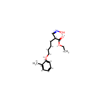 CCOC(=O)C(/C=N\O)CCCCOc1ccccc1C